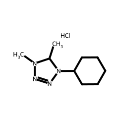 CC1N(C)N=NN1C1CCCCC1.Cl